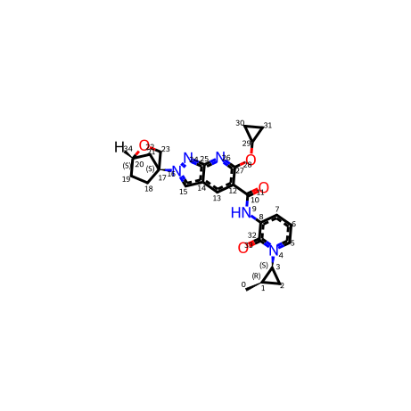 C[C@@H]1C[C@@H]1n1cccc(NC(=O)c2cc3cn([C@@]45CC[C@@H](C4)OC5)nc3nc2OC2CC2)c1=O